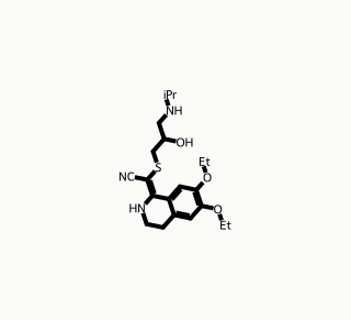 CCOc1cc2c(cc1OCC)C(=C(C#N)SCC(O)CNC(C)C)NCC2